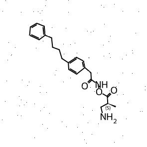 C[C@@H](CN)C(=O)ONC(=O)Cc1ccc(CCCCc2ccccc2)cc1